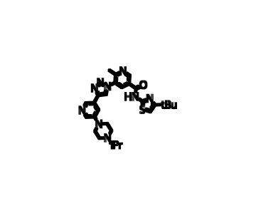 Cc1ncc(C(=O)Nc2nc(C(C)(C)C)cs2)cc1-n1cc(-c2cncc(N3CCN(C(C)C)CC3)c2)nn1